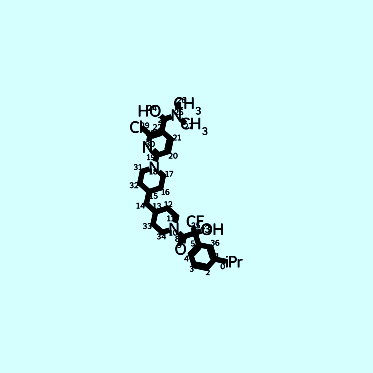 CC(C)c1cccc(C(O)(C(=O)N2CCC(CC3CCN(c4ccc(C(O)N(C)C)c(Cl)n4)CC3)CC2)C(F)(F)F)c1